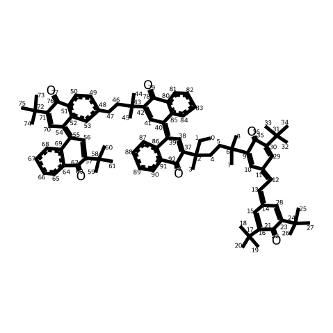 CCC(C)(CCC(C)(C)C1=C/C(=C\C=C2C=C(C(C)(C)C)C(=O)C(C(C)(C)C)=C2)C=C(C(C)(C)C)C1=O)C1=C/C(=C2/C=C(C(C)(C)CCc3ccc4c(c3)/C(=C3\C=C(C(C)(C)C)C(=O)c5ccccc53)C=C(C(C)(C)C)C4=O)C(=O)c3ccccc32)c2ccccc2C1=O